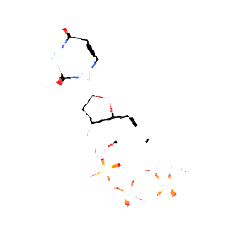 C=C=C[C@]1(COP(=O)(O)OP(=O)(O)OP(=O)(O)O)O[C@@H](n2ccc(=O)[nH]c2=O)[C@@H](F)[C@@H]1O